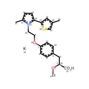 CCO[C@@H](Cc1ccc(OCCn2c(C)ccc2-c2cc(C)cs2)cc1)C(=O)O.[K]